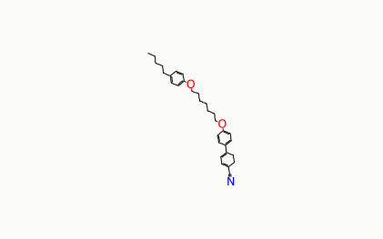 CCCCCc1ccc(OCCCCCCCOc2ccc(C3=CC=C(C#N)CC3)cc2)cc1